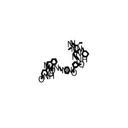 CC[C@@H]1c2nnc(C)n2-c2cnc(Nc3ccc(C(=O)N4CCN(CCNc5cccc6cnn(C7CCC(=O)NC7=O)c(=O)c56)CC4)cc3OC)nc2N1CC1CCCCC1